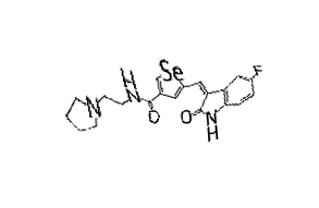 O=C1Nc2ccc(F)cc2/C1=C/c1cc(C(=O)NCCN2CCCC2)c[se]1